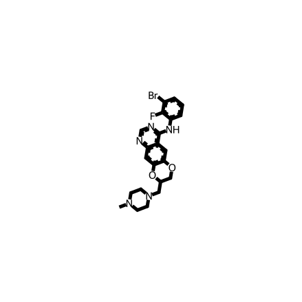 CN1CCN(CC2COc3cc4c(Nc5cccc(Br)c5F)ncnc4cc3O2)CC1